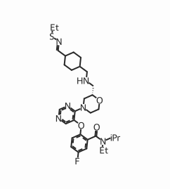 CCS/N=C/C1CCC(CNC[C@H]2CN(c3ncncc3Oc3ccc(F)cc3C(=O)N(CC)C(C)C)CCO2)CC1